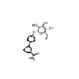 CNC(=O)c1cccc(-c2ccc(O[C@H]3O[C@H](CF)[C@@H](O)[C@H](O)[C@@H]3O)cc2)c1